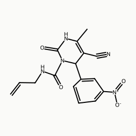 C=CCNC(=O)N1C(=O)NC(C)=C(C#N)C1c1cccc([N+](=O)[O-])c1